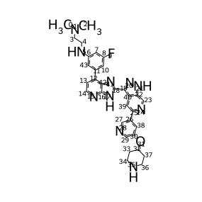 CN(C)CCNc1cc(F)cc(-c2ccnc3[nH]c(-c4n[nH]c5cnc(-c6cncc(OC7CCNCC7)c6)cc45)nc23)c1